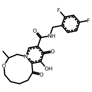 CC1Cn2cc(C(=O)NCc3ccc(F)cc3F)c(=O)c(O)c2C(=O)CCCCO1